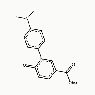 COC(=O)c1ccc(=O)n(-c2ccc(N(C)C)cc2)c1